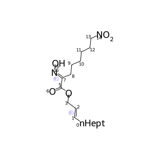 CCCCCCC/C=C/COC(=O)/C(CCCCCC[N+](=O)[O-])=N/O